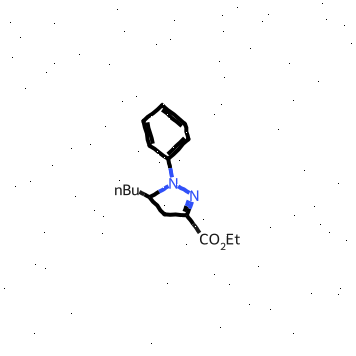 CCCCC1CC(C(=O)OCC)=NN1c1ccccc1